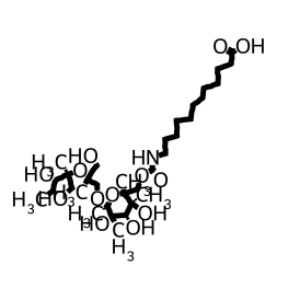 CCC(O)[C@@](C)(CO)OC(C)(CO)CO[C@@]1(C)OC(C)(COC(=O)NCCCCCCCCCCCC(=O)O)[C@@](C)(O)[C@@H](O)C1(C)O